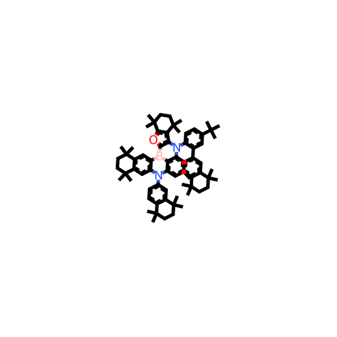 Cc1cc2c3c(c1)N(c1ccc(C(C)(C)C)cc1-c1ccc4c(c1)C(C)(C)CCC4(C)C)c1c(oc4c1C(C)(C)CCC4(C)C)B3c1cc3c(cc1N2c1ccc2c(c1)C(C)(C)CCC2(C)C)C(C)(C)CCC3(C)C